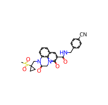 CS(=O)(=O)C1(CN2C(=O)Cn3c(=O)c(C(=O)NCc4ccc(C#N)cc4)cc4cccc2c43)CC1